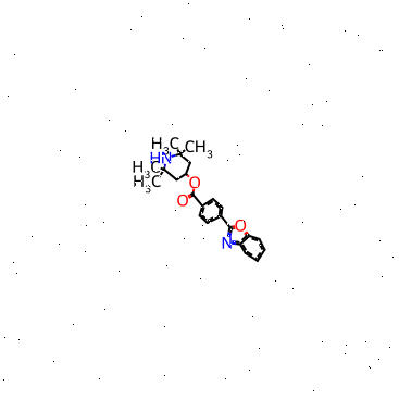 CC1(C)CC(OC(=O)c2ccc(-c3nc4ccccc4o3)cc2)CC(C)(C)N1